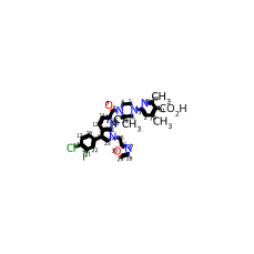 Cc1cc(N2CCN(C(=O)c3ccc4c(-c5ccc(Cl)c(F)c5)cn(Cc5ncco5)c4n3)C(C)(C)C2)nc(C)c1C(=O)O